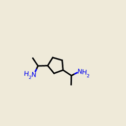 CC(N)C1CCC(C(C)N)C1